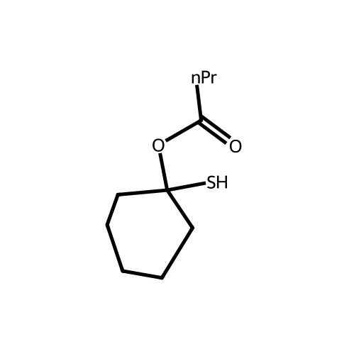 CCCC(=O)OC1(S)CCCCC1